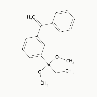 C=C(c1ccccc1)c1cccc([Si](CC)(OC)OC)c1